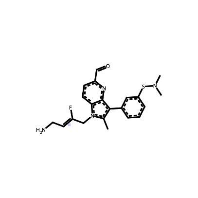 Cc1c(-c2cccc(SN(C)C)c2)c2nc(C=O)ccc2n1C/C(F)=C/CN